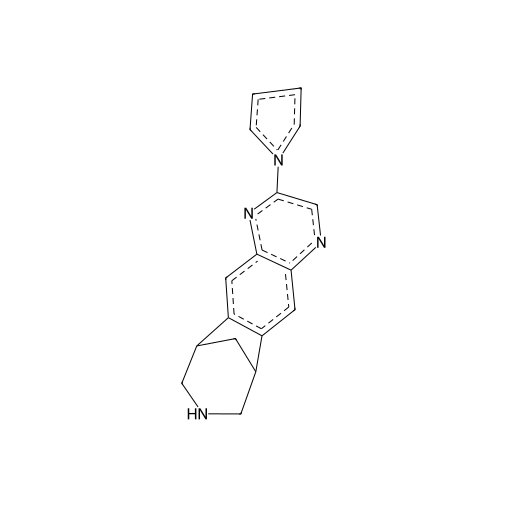 c1ccn(-c2cnc3cc4c(cc3n2)C2CNCC4C2)c1